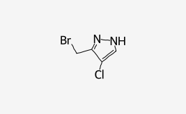 Clc1c[nH]nc1CBr